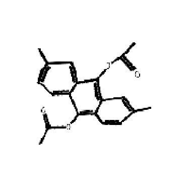 CC(=O)Oc1c2ccc(C)cc2c(OC(C)=O)c2cc(C)ccc12